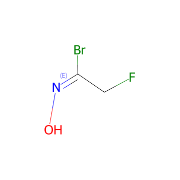 O/N=C(/Br)CF